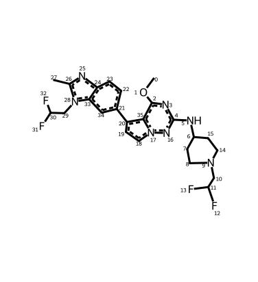 COc1nc(NC2CCN(CC(F)F)CC2)nn2ccc(-c3ccc4nc(C)n(CC(F)F)c4c3)c12